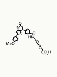 COc1ccc(-c2cc3c(s2)c(-c2ccc(C(=O)NCCOCCOCC(=O)O)cc2)cc(=O)n3C)cc1